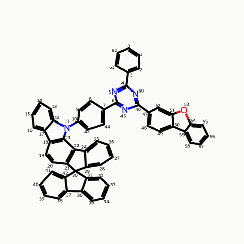 c1ccc(-c2nc(-c3ccc(-n4c5ccccc5c5ccc6c(c54)-c4ccccc4C64c5ccccc5-c5ccccc54)cc3)nc(-c3ccc4c(c3)oc3ccccc34)n2)cc1